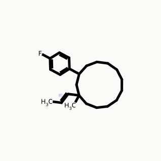 C/C=C/C1(C)CCCCCCCCCCC(c2ccc(F)cc2)C1